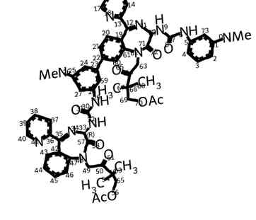 CNc1cccc(NC(=O)N[C@H]2N=C(c3ccccn3)c3ccc(-c4cc(NC)cc(NC(=O)N[C@@H]5N=C(c6ccccn6)c6ccccc6N(CC(=O)C(C)(C)COC(C)=O)C5=O)c4)cc3N(CC(=O)C(C)(C)COC(C)=O)C2=O)c1